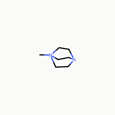 C[N+]12CCN(CC1)CC2